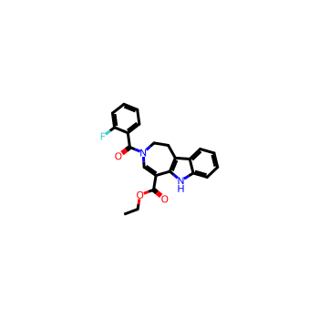 CCOC(=O)C1=CN(C(=O)c2ccccc2F)CCc2c1[nH]c1ccccc21